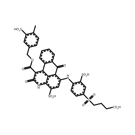 Cc1ccc(COC(=O)c2c3c4c(c(Nc5ccc(S(=O)(=O)CCCC(=O)O)cc5S(=O)(=O)O)cc(S(=O)(=O)O)c4[nH]c2=O)C(=O)c2ccccc2-3)cc1S(=O)(=O)O